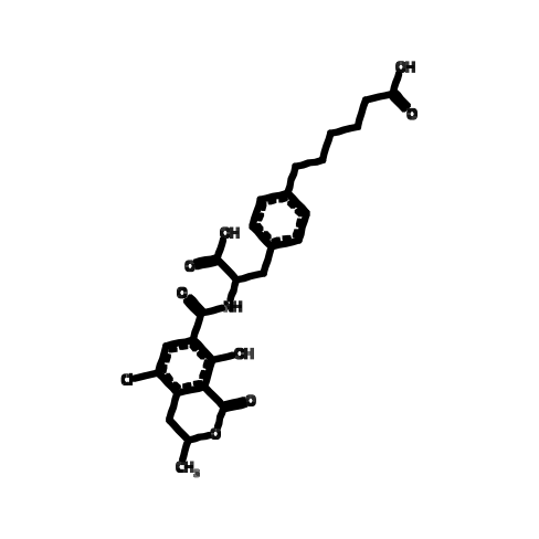 CC1Cc2c(Cl)cc(C(=O)NC(Cc3ccc(CCCCCC(=O)O)cc3)C(=O)O)c(O)c2C(=O)O1